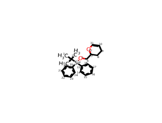 CC(C)(C)[Si](OCC1CCC=CO1)(c1ccccc1)c1ccccc1